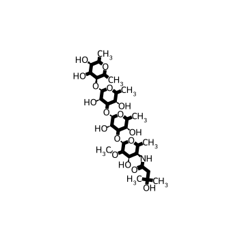 COC1[C@H](OC2[C@@H](O)C(C)O[C@@H](OC3[C@@H](O)C(C)O[C@@H](O[C@@H]4C(C)OC(C)[C@H](O)C4O)[C@H]3O)[C@H]2O)OC(C)[C@@H](NC(=O)CC(C)(C)O)[C@@H]1O